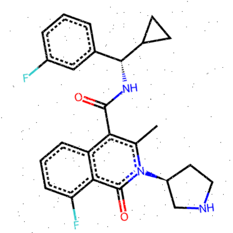 Cc1c(C(=O)N[C@H](c2cccc(F)c2)C2CC2)c2cccc(F)c2c(=O)n1[C@H]1CCNC1